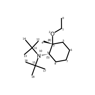 CCO[C@]1(C)CCCC[C@@H]1N(C(C)(C)C)C(C)(C)C